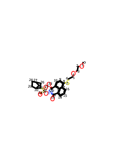 COCCOCCSc1ccc2c3c(cccc13)C(=O)N(OS(=O)(=O)C1CC3CCC1C3)C2=O